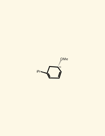 CO[C@@H]1C=CC=C(C(C)C)C1